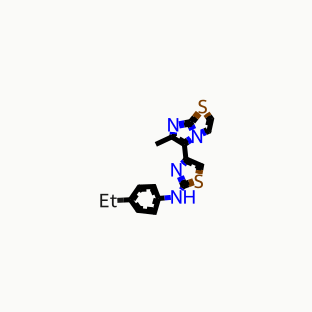 CCc1ccc(Nc2nc(-c3c(C)nc4sccn34)cs2)cc1